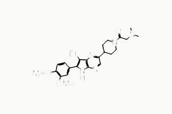 CCc1c(-c2ccc(OC)c(OC)c2)[nH]c2ncc(C3CCN(C(=O)CN(C)C)CC3)nc12